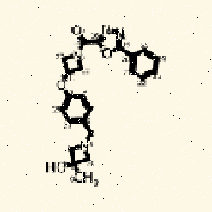 CC1(O)CN(Cc2ccc(OC3CN(C(=O)c4nnc(-c5ccccc5)o4)C3)cc2)C1